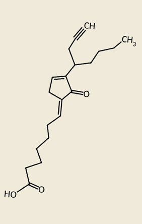 C#CCC(CCCC)C1=CCC(=CCCCCCC(=O)O)C1=O